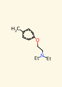 [CH2]c1ccc(OCCN(CC)CC)cc1